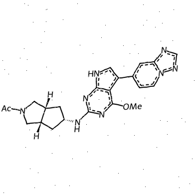 COc1nc(N[C@@H]2C[C@@H]3CN(C(C)=O)C[C@@H]3C2)nc2[nH]cc(-c3ccn4ncnc4c3)c12